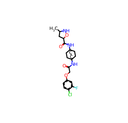 CC1CC(C(=O)NC23CCC(NC(=O)COc4ccc(Cl)c(F)c4)(CC2)CC3)ON1